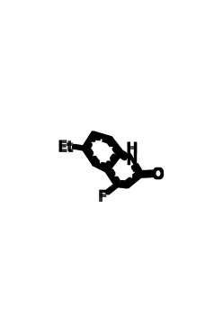 CCc1ccc2[nH]c(=O)cc(F)c2c1